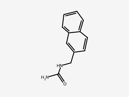 NC(=O)NCc1ccc2ccccc2c1